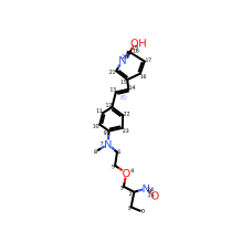 CCC(COCCN(C)c1ccc(/C=C/c2ccc(O)nc2)cc1)N=O